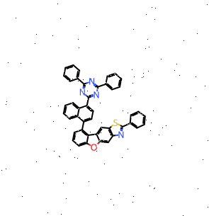 c1ccc(-c2nc(-c3ccccc3)nc(-c3ccc(-c4cccc5oc6cc7nc(-c8ccccc8)sc7cc6c45)c4ccccc34)n2)cc1